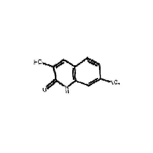 O=c1[nH]c2cc([N+](=O)[O-])ccc2cc1O